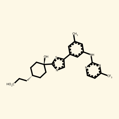 Cc1cc(Nc2nccc(C(F)(F)F)n2)cc(-c2cnc([C@]3(O)CC[C@H](CCC(=O)O)CC3)s2)c1